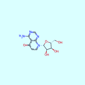 Nc1ncnc2c1c(=O)ccn2[C@@H]1O[C@H](CO)[C@@H](O)[C@H]1O